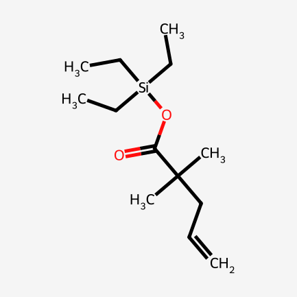 C=CCC(C)(C)C(=O)O[Si](CC)(CC)CC